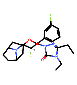 CCc1nn(C[C@H](F)CN2C3CCC2CC(OCc2cccc(F)c2)C3)c(=O)n1CC